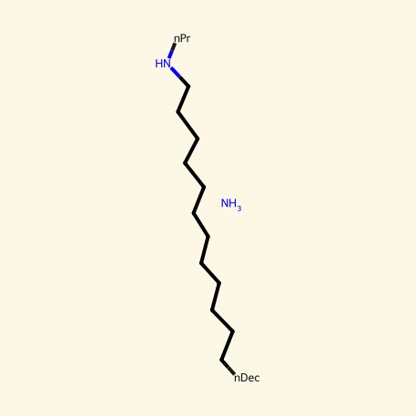 CCCCCCCCCCCCCCCCCCCCCCNCCC.N